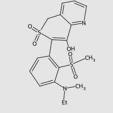 CCN(C)c1cccc(C2=C(O)c3ncccc3CS2(=O)=O)c1S(C)(=O)=O